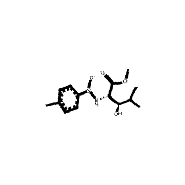 COC(=O)[C@@H](N[S+]([O-])c1ccc(C)cc1)[C@H](O)C(C)C